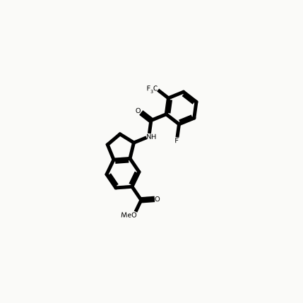 COC(=O)c1ccc2c(c1)C(NC(=O)c1c(F)cccc1C(F)(F)F)CC2